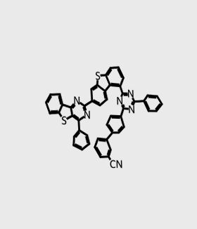 N#Cc1cccc(-c2ccc(-c3nc(-c4ccccc4)nc(-c4cccc5sc6cc(-c7nc(-c8ccccc8)c8sc9ccccc9c8n7)ccc6c45)n3)cc2)c1